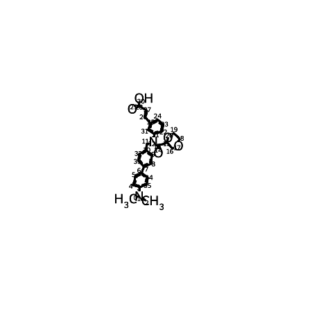 CN(C)c1ccc(-c2ccc(CN(C(=O)C3COCCO3)c3cccc(C=CC(=O)O)c3)cc2)cc1